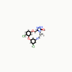 [C-]#[N+]c1cc(Cl)cc(Oc2cc(OCc3n[nH]c(=O)n3C)ccc2Cl)c1